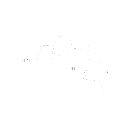 Cc1ccc(C(=O)C2=C(O)c3sc(N)nc3CC2)cn1